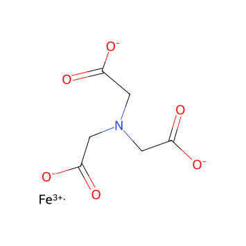 O=C([O-])CN(CC(=O)[O-])CC(=O)[O-].[Fe+3]